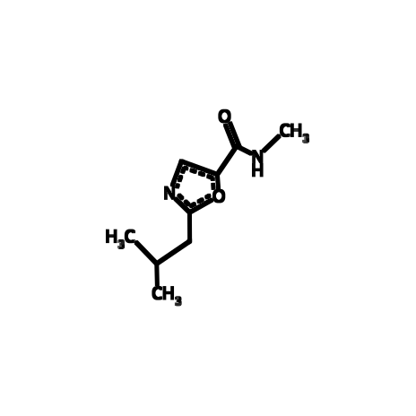 CNC(=O)c1cnc(CC(C)C)o1